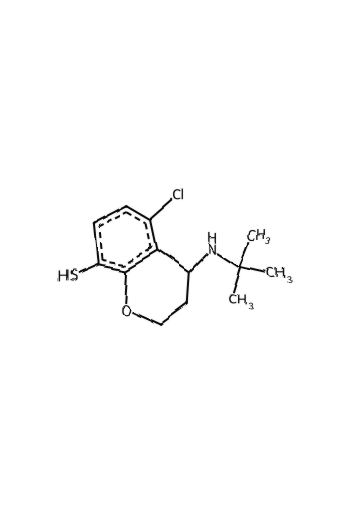 CC(C)(C)NC1CCOc2c(S)ccc(Cl)c21